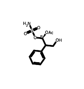 CC(=O)O[C@H](OS(N)(=O)=O)C(CO)c1ccccc1